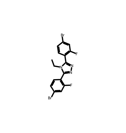 CCn1c(-c2ccc(Br)cc2F)nnc1-c1ccc(Br)cc1F